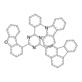 C[n+]1c(-c2cc3c4c(cccc4c2)-c2ccccc2-3)nc(-c2cccc3oc4ccccc4c23)nc1-c1ccccc1-n1c2ccccc2c2ccccc21